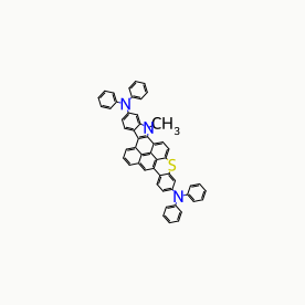 Cn1c2cc(N(c3ccccc3)c3ccccc3)ccc2c2c3cccc4cc5c6c(ccc(c6c43)c21)Sc1cc(N(c2ccccc2)c2ccccc2)ccc1-5